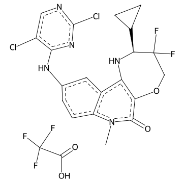 Cn1c(=O)c2c(c3cc(Nc4nc(Cl)ncc4Cl)ccc31)N[C@@H](C1CC1)C(F)(F)CO2.O=C(O)C(F)(F)F